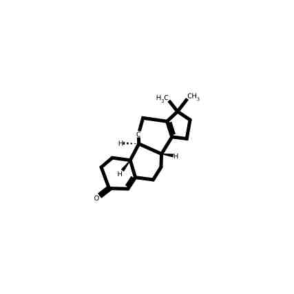 CC1(C)CCC2=C1CC[C@@H]1[C@H]3CCC(=O)C=C3CC[C@@H]21